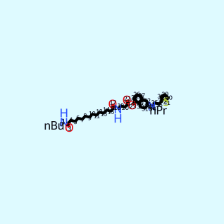 CCCCNC(=O)CCCCCCCCCCCCC(=O)NCCC(=O)Oc1cccc2c1CC[C@@H](N(CCC)CCc1cccs1)C2